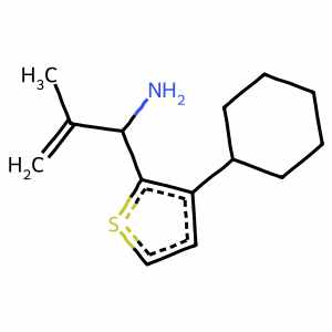 C=C(C)C(N)c1sccc1C1CCCCC1